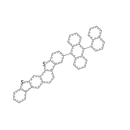 c1ccc2c(-c3c4ccccc4c(-c4ccc5sc6c7cc8sc9ccccc9c8cc7ccc6c5c4)c4ccccc34)cccc2c1